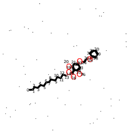 CCCCCCCCCCCCCCOC(=O)c1c(OC)cc(OCCOc2ccccc2)cc1OC